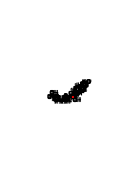 C[C@H]1C[C@@]2(C)[C@@H](CC3OC(c4ccc(Cc5ccc(C(=O)O)cc5)cc4F)O[C@]32C(=O)CO)[C@@H]2CCC3=CC(=O)C=C[C@]3(C)[C@H]21